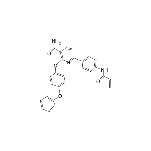 C=CC(=O)Nc1ccc(-c2ccc(C(N)=O)c(Oc3ccc(Oc4ccccc4)cc3)n2)cc1